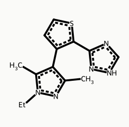 CCn1nc(C)c(-c2ccsc2-c2nc[nH]n2)c1C